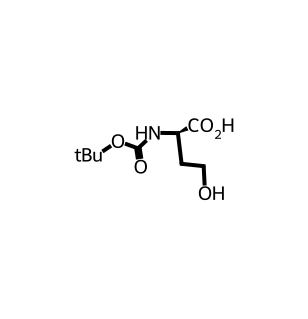 CC(C)(C)OC(=O)N[C@H](CCO)C(=O)O